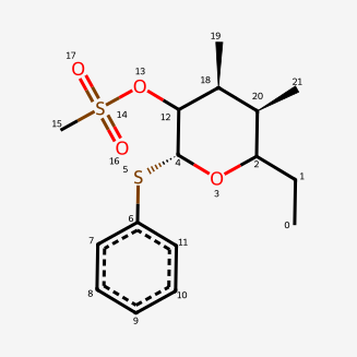 CCC1O[C@H](Sc2ccccc2)C(OS(C)(=O)=O)[C@@H](C)[C@H]1C